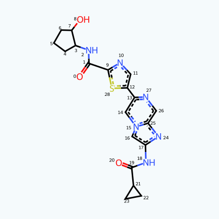 O=C(NC1CCCC1O)c1ncc(-c2cn3cc(NC(=O)C4CC4)nc3cn2)s1